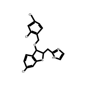 Clc1ccc(COC2c3ccc(Cl)cc3SC2Cc2ncc[nH]2)c(Cl)c1